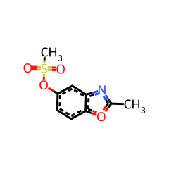 Cc1nc2cc(OS(C)(=O)=O)ccc2o1